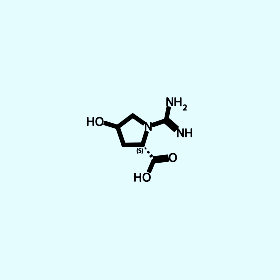 N=C(N)N1CC(O)C[C@H]1C(=O)O